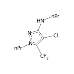 CCCNc1nn(CCC)c(C(F)(F)F)c1Cl